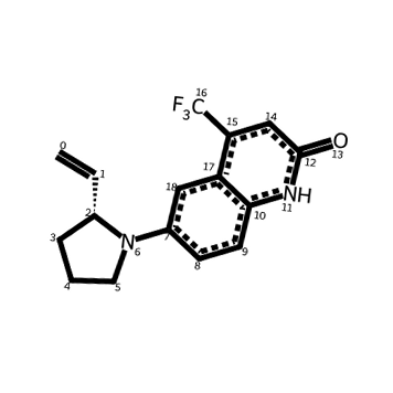 C=C[C@H]1CCCN1c1ccc2[nH]c(=O)cc(C(F)(F)F)c2c1